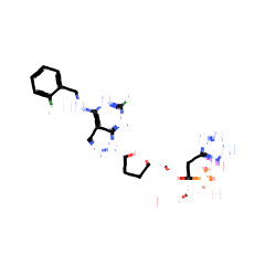 O=P(O)(O)[C@](CO)(Cc1nn[nH]n1)OC[C@@H]1CC[C@H](n2ncc3c(NCc4ccccc4Cl)nc(Cl)nc32)O1